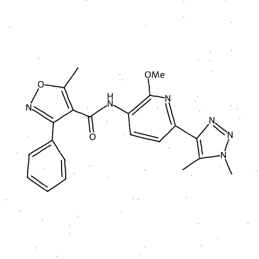 COc1nc(-c2nnn(C)c2C)ccc1NC(=O)c1c(-c2ccccc2)noc1C